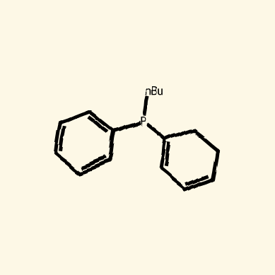 CCCCP(C1=CC=CCC1)c1ccccc1